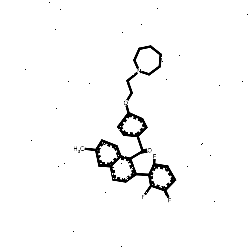 Cc1ccc2c(C(=O)c3ccc(OCCN4CCCCCC4)cc3)c(-c3c(F)ccc(F)c3F)ccc2c1